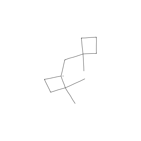 CC1(C[C]2CCC2(C)C)CCC1